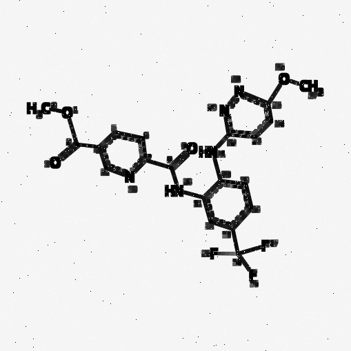 COC(=O)c1ccc(C(=O)Nc2cc(C(F)(F)F)ccc2Nc2ccc(OC)nn2)nc1